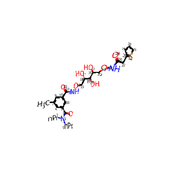 CCCN(CCC)C(=O)c1cc(C)cc(C(=O)NOC[C@H](O)[C@H](O)C(O)CONC(=O)Cc2cccs2)c1